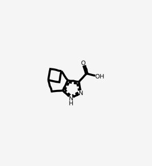 O=C(O)c1n[nH]c2c1C1CC(C2)C1